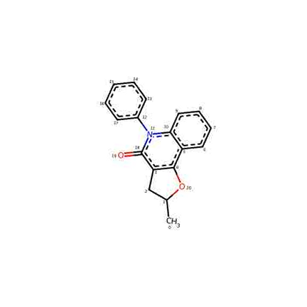 CC1Cc2c(c3ccccc3n(-c3ccccc3)c2=O)O1